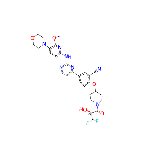 COc1nc(Nc2nccc(-c3ccc(OC4CCN(C(=O)[C@H](O)C(F)F)CC4)c(C#N)c3)n2)ccc1N1CCOCC1